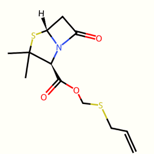 C=CCSCOC(=O)[C@@H]1N2C(=O)C[C@H]2SC1(C)C